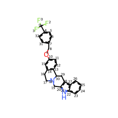 FC(F)(F)c1ccc(COc2ccc3c(c2)CCN2Cc4[nH]c5ccccc5c4CC32)cc1